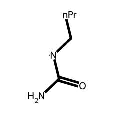 CCCC[N]C(N)=O